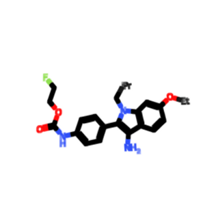 CCOc1ccc2c(N)c(-c3ccc(NC(=O)OCCF)cc3)n(CC(C)C)c2c1